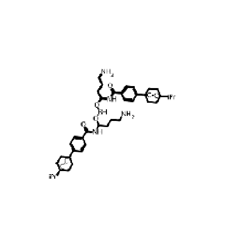 CC(C)C12CCC(c3ccc(C(=O)NC(CCCN)OBOC(CCCN)NC(=O)c4ccc(C56CCC(C(C)C)(CC5)CC6)cc4)cc3)(CC1)CC2